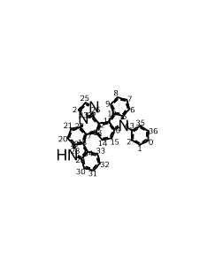 c1ccc(-n2c3ccccc3c3c4c(ccc32)c2c3c(ccc2n2ccnc42)[nH]c2ccccc23)cc1